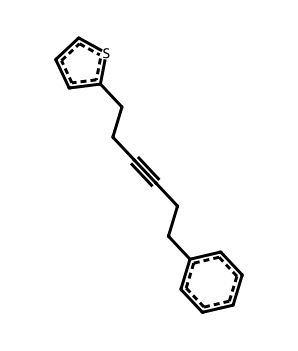 C(#CCCc1cccs1)CCc1ccccc1